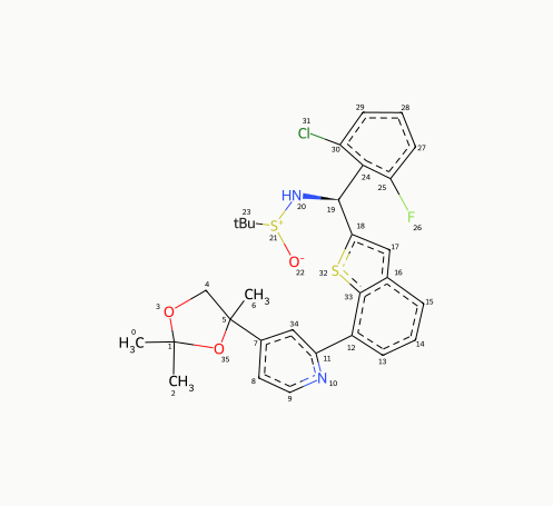 CC1(C)OCC(C)(c2ccnc(-c3cccc4cc([C@@H](N[S+]([O-])C(C)(C)C)c5c(F)cccc5Cl)sc34)c2)O1